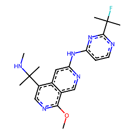 CNC(C)(C)c1cnc(OC)c2cnc(Nc3ccnc(C(C)(C)F)n3)cc12